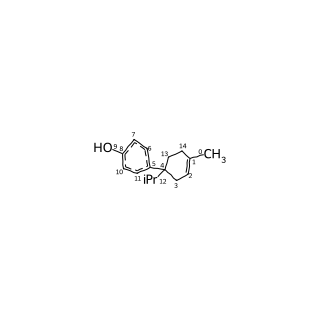 CC1=CCC(c2ccc(O)cc2)(C(C)C)CC1